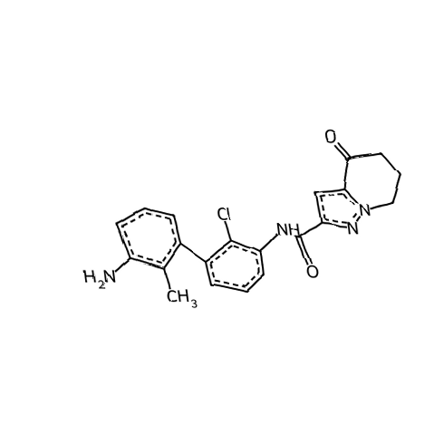 Cc1c(N)cccc1-c1cccc(NC(=O)c2cc3n(n2)CCCC3=O)c1Cl